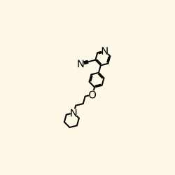 N#Cc1cnccc1-c1ccc(OCCCN2CCCCC2)cc1